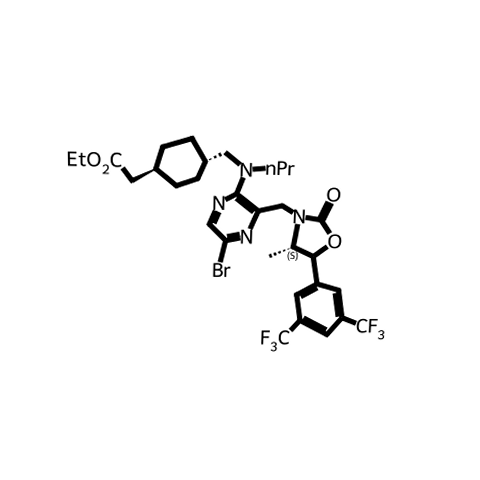 CCCN(C[C@H]1CC[C@H](CC(=O)OCC)CC1)c1ncc(Br)nc1CN1C(=O)OC(c2cc(C(F)(F)F)cc(C(F)(F)F)c2)[C@@H]1C